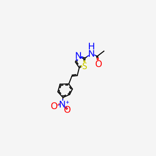 CC(=O)Nc1ncc(C=Cc2ccc([N+](=O)[O-])cc2)s1